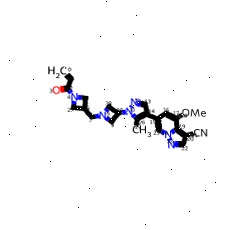 C=CC(=O)N1CC(CN2CC(n3ncc(-c4cc(OC)c5c(C#N)cnn5c4)c3C)C2)C1